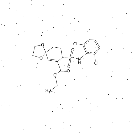 CCOC(=O)C1=CC2(CCC1S(=O)(=O)Nc1c(Cl)cccc1Cl)OCCO2